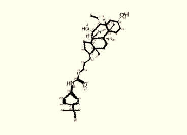 CC[C@H]1[C@@H](O)[C@@H]2[C@H](CC[C@]3(C)[C@@H](CCCOC(=O)Nc4ccc(C(C)(C)C)cc4)CC[C@@H]23)[C@@]2(C)CC[C@@H](O)C[C@@H]12